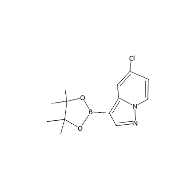 CC1(C)OB(c2cnn3ccc(Cl)cc23)OC1(C)C